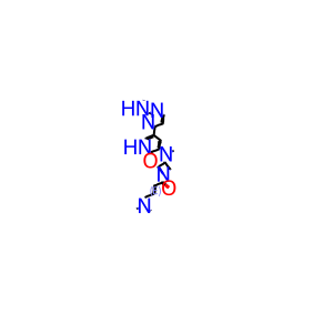 CNc1nccc(-c2c[nH]c(=O)c(N(C)C3CN(C(=O)/C=C/CN(C)C)C3)c2)n1